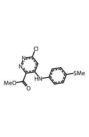 COC(=O)c1nnc(Cl)cc1Nc1ccc(SC)cc1